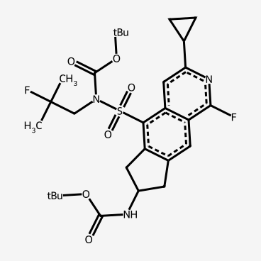 CC(C)(F)CN(C(=O)OC(C)(C)C)S(=O)(=O)c1c2c(cc3c(F)nc(C4CC4)cc13)CC(NC(=O)OC(C)(C)C)C2